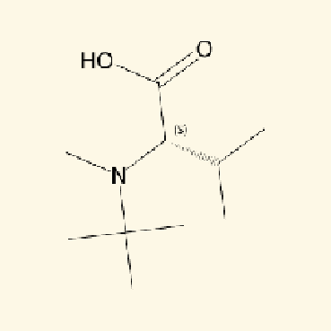 CC(C)[C@@H](C(=O)O)N(C)C(C)(C)C